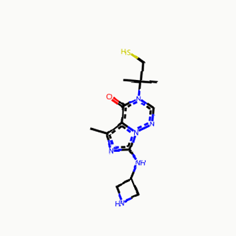 Cc1nc(NC2CNC2)n2ncn(C(C)(C)CS)c(=O)c12